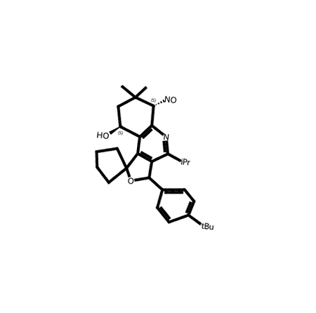 CC(C)c1nc2c(c3c1C(c1ccc(C(C)(C)C)cc1)OC31CCCC1)[C@@H](O)CC(C)(C)[C@@H]2N=O